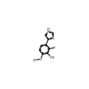 CCOc1ccc(-c2c[nH]cn2)c(F)c1C#N